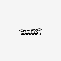 CCCCCCCCCCCC(=O)O.OCCOCCOCCOCCO